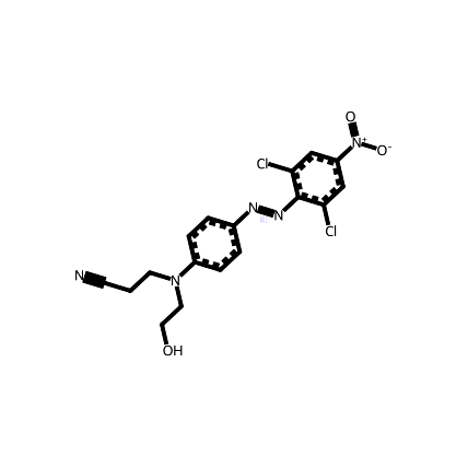 N#CCCN(CCO)c1ccc(/N=N/c2c(Cl)cc([N+](=O)[O-])cc2Cl)cc1